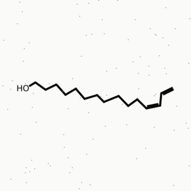 C=C/C=C\CCCCCCCCCCCO